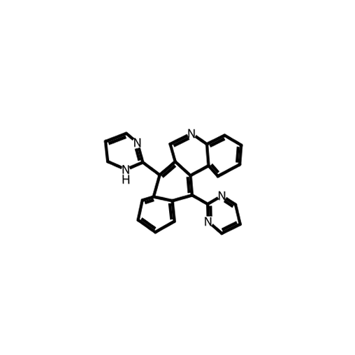 C1=CN=C(c2c3ccccc3c(-c3ncccn3)c3c2cnc2ccccc23)NC1